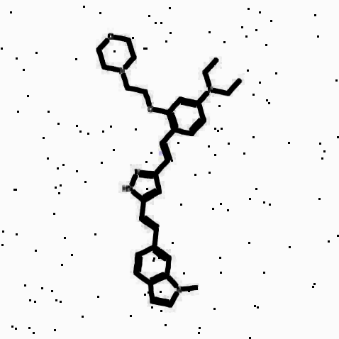 CCN(CC)c1ccc(/C=C/c2cc(/C=C/c3ccc4ccn(C)c4c3)[nH]n2)c(OCCN2CCOCC2)c1